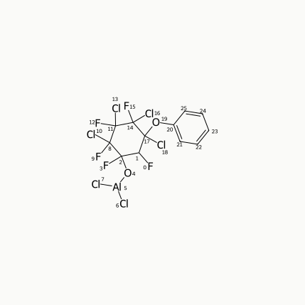 FC1C(F)([O][Al]([Cl])[Cl])C(F)(Cl)C(F)(Cl)C(F)(Cl)C1(Cl)Oc1ccccc1